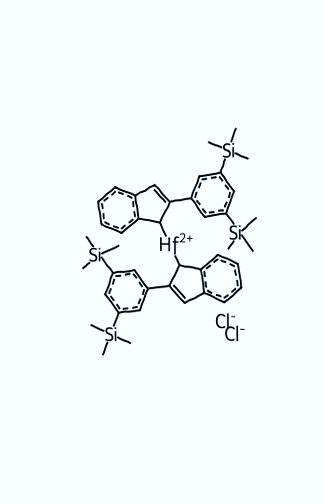 C[Si](C)(C)c1cc(C2=Cc3ccccc3[CH]2[Hf+2][CH]2C(c3cc([Si](C)(C)C)cc([Si](C)(C)C)c3)=Cc3ccccc32)cc([Si](C)(C)C)c1.[Cl-].[Cl-]